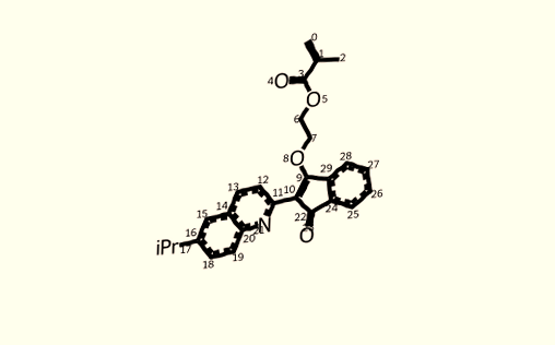 C=C(C)C(=O)OCCOC1=C(c2ccc3cc(C(C)C)ccc3n2)C(=O)c2ccccc21